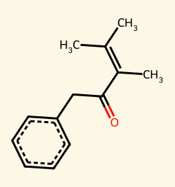 CC(C)=C(C)C(=O)Cc1ccccc1